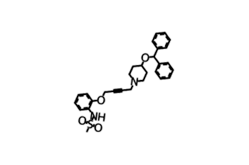 CS(=O)(=O)Nc1ccccc1OCC#CCN1CCC(OC(c2ccccc2)c2ccccc2)CC1